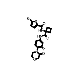 O=C(NC1(C(=O)Nc2ccc(N3CCOCC3=O)c(Cl)c2)CCC1)c1ccc(Br)s1